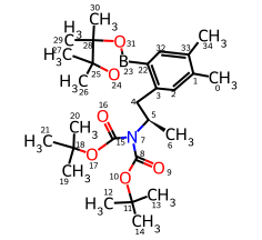 Cc1cc(C[C@@H](C)N(C(=O)OC(C)(C)C)C(=O)OC(C)(C)C)c(B2OC(C)(C)C(C)(C)O2)cc1C